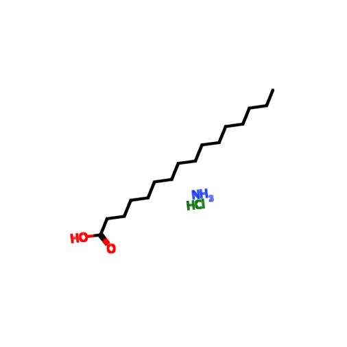 CCCCCCCCCCCCCCCC(=O)O.Cl.N